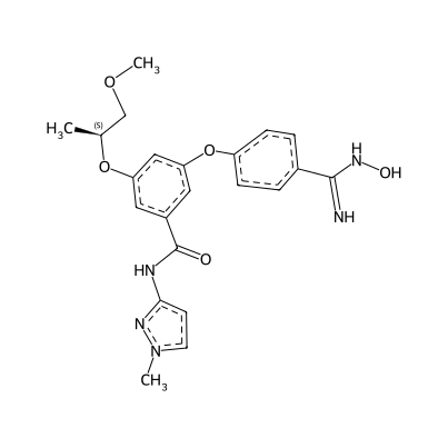 COC[C@H](C)Oc1cc(Oc2ccc(C(=N)NO)cc2)cc(C(=O)Nc2ccn(C)n2)c1